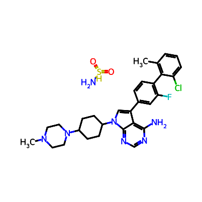 Cc1cccc(Cl)c1-c1ccc(-c2cn(C3CCC(N4CCN(C)CC4)CC3)c3ncnc(N)c23)cc1F.N[SH](=O)=O